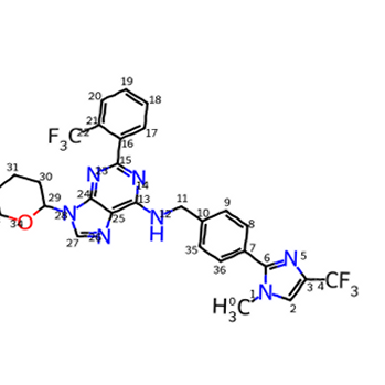 Cn1cc(C(F)(F)F)nc1-c1ccc(CNc2nc(-c3ccccc3C(F)(F)F)nc3c2ncn3C2CCCCO2)cc1